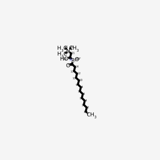 CCCCCCCCCCCCCCCC(=O)/[P+]([O-])=C(\O)C[N+](C)(C)C